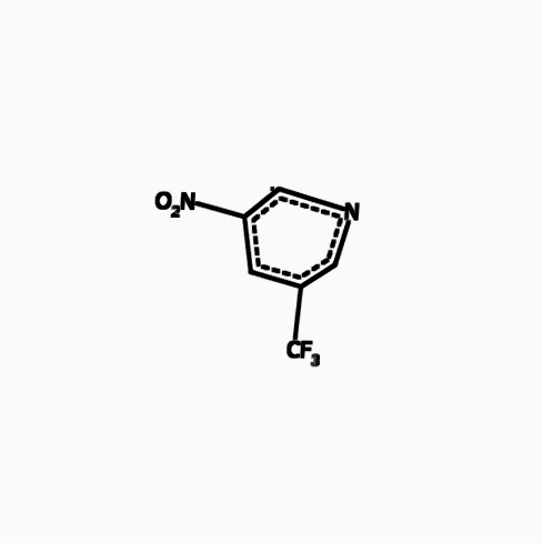 O=[N+]([O-])c1[c]ncc(C(F)(F)F)c1